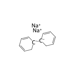 C1=CC[C-]([C-]2C=CC=CC2)C=C1.[Na+].[Na+]